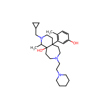 Cc1ccc(O)cc1C12CCN(CCN3CCCCC3)CCC1(O)C(C)N(CC1CC1)CC2